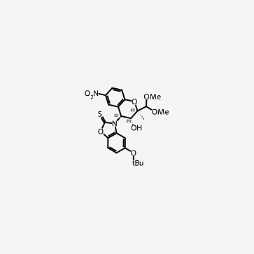 COC(OC)[C@]1(C)Oc2ccc([N+](=O)[O-])cc2[C@H](n2c(=S)oc3ccc(OC(C)(C)C)cc32)[C@H]1O